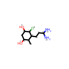 CC1C(O)CC(O)C(Cl)C1CCC(N)N